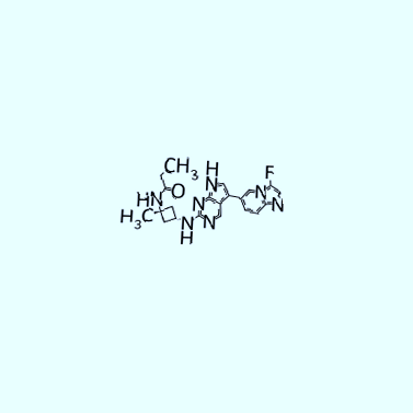 CCC(=O)N[C@]1(C)C[C@H](Nc2ncc3c(-c4ccc5ncc(F)n5c4)c[nH]c3n2)C1